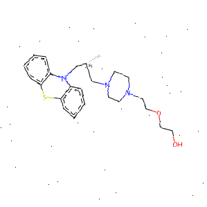 C[C@H](CN1CCN(CCOCCO)CC1)CN1c2ccccc2Sc2ccccc21